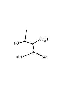 CCCCCCN(C(C)=O)C(C(=O)O)C(C)O